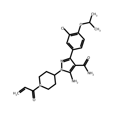 C=CC(=O)N1CCC(n2nc(-c3ccc(OC(C)C)c(Cl)c3)c(C(N)=O)c2N)CC1